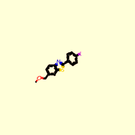 COCc1ccc2nc(-c3ccc(I)cc3)sc2c1